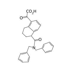 O=C(O)C(=O)c1cccc2c1CCCC2C(=O)N(Cc1ccccc1)Cc1ccccc1